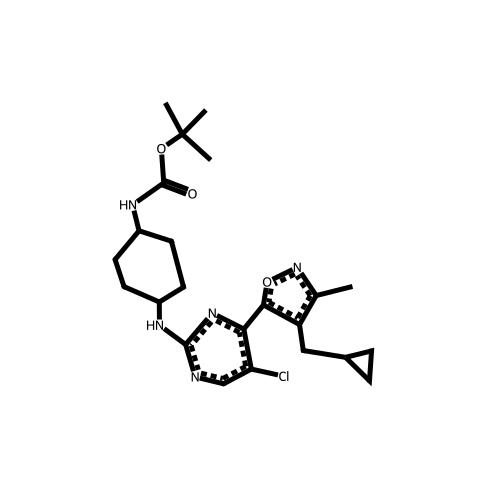 Cc1noc(-c2nc(NC3CCC(NC(=O)OC(C)(C)C)CC3)ncc2Cl)c1CC1CC1